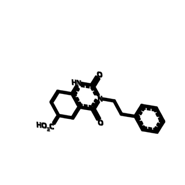 O=C(O)C1CCc2[nH]c(=O)n(CCc3ccccc3)c(=O)c2C1